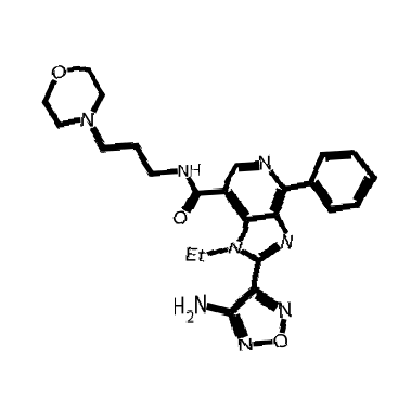 CCn1c(-c2nonc2N)nc2c(-c3ccccc3)ncc(C(=O)NCCCN3CCOCC3)c21